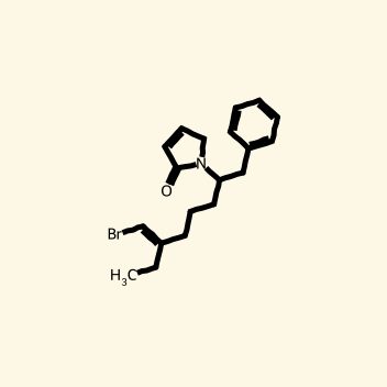 CCC(=CBr)CCCC(Cc1ccccc1)N1CC=CC1=O